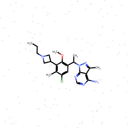 CCCN1CC(c2c(C)c(Cl)cc(C(C)n3nc(C)c4c(N)ncnc43)c2OC)C1